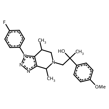 COc1ccc(C(C)(O)CN2CC(C)c3c(nnn3-c3ccc(F)cc3)C2C)cc1